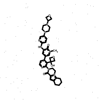 Cn1cc(-c2ccnc(N3CCn4c(cc5c4CCCC5)C3=O)c2C2(O)COC2)cc(Nc2ccc(N3CCN(C4COC4)CC3)cn2)c1=O